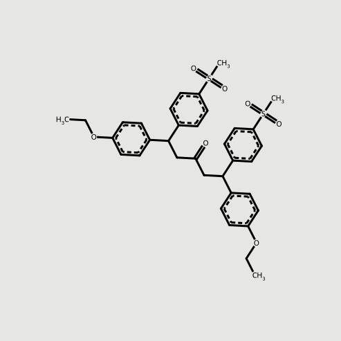 CCOc1ccc(C(CC(=O)CC(c2ccc(OCC)cc2)c2ccc(S(C)(=O)=O)cc2)c2ccc(S(C)(=O)=O)cc2)cc1